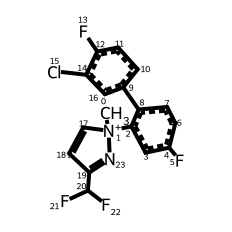 C[N+]1(c2cc(F)ccc2-c2ccc(F)c(Cl)c2)C=[C]C(C(F)F)=N1